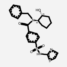 O=C(c1ccc(S(=O)(=O)Nc2nccs2)cc1)N(Cc1ccccc1)[C@@H]1CCCC[C@H]1O